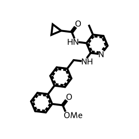 COC(=O)c1ccccc1-c1ccc(CNc2nccc(C)c2NC(=O)C2CC2)cc1